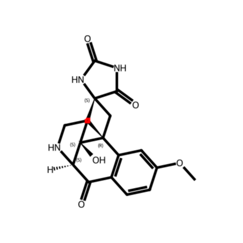 COc1ccc2c(c1)[C@]13CCN[C@H](C2=O)[C@]1(O)CC[C@@]1(C3)NC(=O)NC1=O